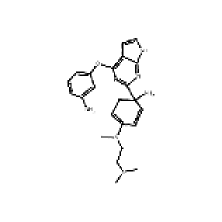 CN(C)CCN(C)C1=CCC(N)(c2nc(Oc3cccc(N)c3)c3cc[nH]c3n2)C=C1